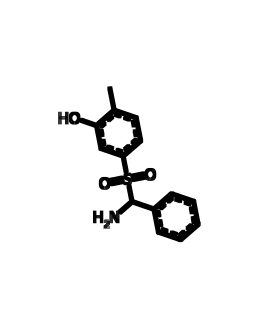 Cc1ccc(S(=O)(=O)C(N)c2ccccc2)cc1O